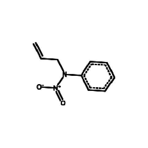 C=CCN(c1ccccc1)[N+](=O)[O-]